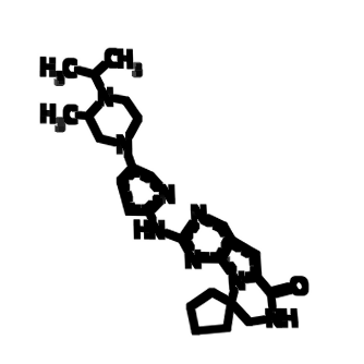 CC(C)N1CCN(c2ccc(Nc3ncc4cc5n(c4n3)C3(CCCC3)CNC5=O)nc2)CC1C